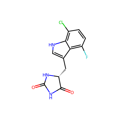 O=C1NC(=O)[C@@H](Cc2c[nH]c3c(Cl)ccc(F)c23)N1